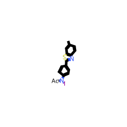 CC(=O)N(I)c1ccc(-c2nc3ccc(C)cc3s2)cc1